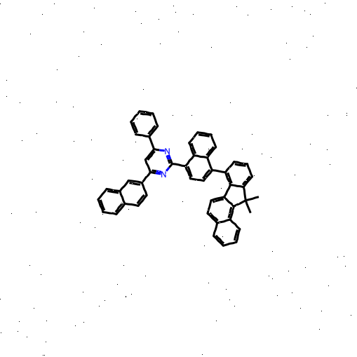 CC1(C)c2cccc(-c3ccc(-c4nc(-c5ccccc5)cc(-c5ccc6ccccc6c5)n4)c4ccccc34)c2-c2ccc3ccccc3c21